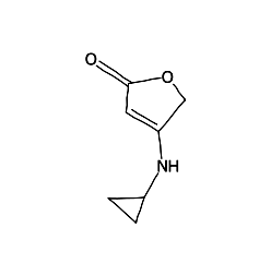 O=C1C=C(NC2CC2)CO1